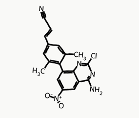 Cc1cc(C=CC#N)cc(C)c1-c1cc([N+](=O)[O-])cc2c(N)nc(Cl)nc12